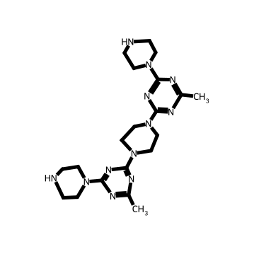 Cc1nc(N2CCNCC2)nc(N2CCN(c3nc(C)nc(N4CCNCC4)n3)CC2)n1